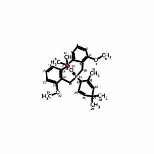 COc1cccc(OC)c1CP(=O)(Cc1c(OC)cccc1OC)C1C=CC(C)(C)C=C1C